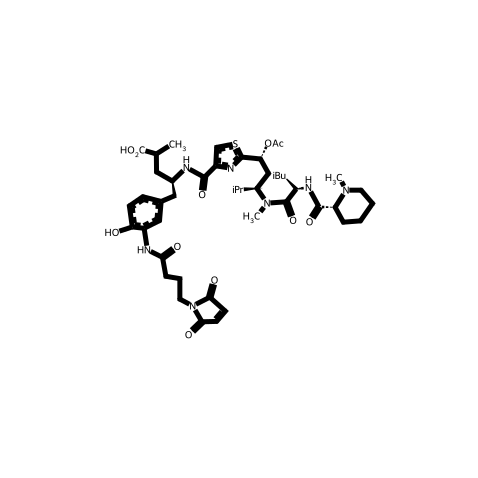 CC[C@H](C)[C@H](NC(=O)[C@H]1CCCCN1C)C(=O)N(C)[C@H](C[C@@H](OC(C)=O)c1nc(C(=O)N[C@@H](Cc2ccc(O)c(NC(=O)CCCN3C(=O)C=CC3=O)c2)CC(C)C(=O)O)cs1)C(C)C